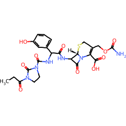 CCC(=O)N1CCN(C(=O)NC(C(=O)NC2C(=O)N3C(C(=O)O)=C(COC(N)=O)CS[C@@H]23)c2cccc(O)c2)C1=O